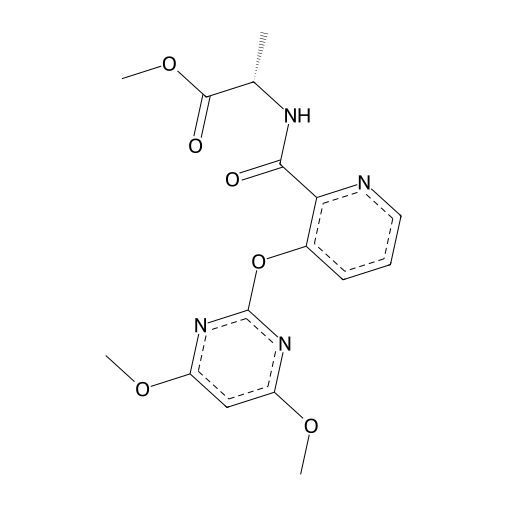 COC(=O)[C@H](C)NC(=O)c1ncccc1Oc1nc(OC)cc(OC)n1